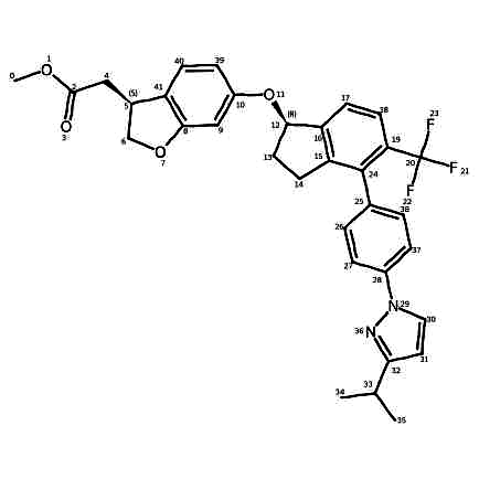 COC(=O)C[C@@H]1COc2cc(O[C@@H]3CCc4c3ccc(C(F)(F)F)c4-c3ccc(-n4ccc(C(C)C)n4)cc3)ccc21